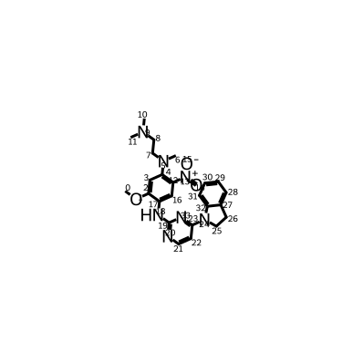 COc1cc(N(C)CCN(C)C)c([N+](=O)[O-])cc1Nc1nccc(N2CCc3ccccc32)n1